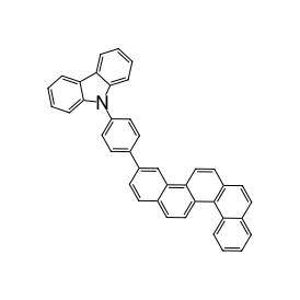 c1ccc2c(c1)ccc1ccc3c4cc(-c5ccc(-n6c7ccccc7c7ccccc76)cc5)ccc4ccc3c12